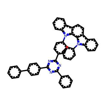 c1ccc(-c2ccc(-c3nc(-c4ccccc4)nc(-c4ccc(-n5c6ccccc6c6ccc7c8ccccc8n(-c8ccccc8)c7c65)cc4)n3)cc2)cc1